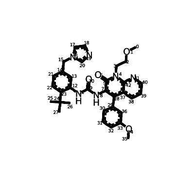 COCCn1c(=O)c(NC(=O)Nc2cc(Cn3ccnc3)ccc2C(C)(C)C)c(-c2cccc(OC)c2)c2cccnc21